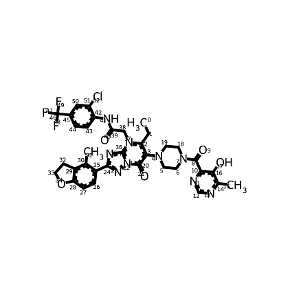 CCc1c(N2CCN(C(=O)c3ncnc(C)c3O)CC2)c(=O)n2nc(-c3ccc4c(c3C)CCO4)nc2n1CC(=O)Nc1ccc(C(F)(F)F)cc1Cl